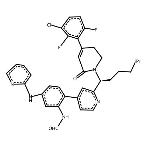 CC(C)CCC[C@@H](c1cc(-c2ccc(Nc3ccccn3)cc2NC=O)ccn1)N1CCC(c2c(F)ccc(Cl)c2F)=CC1=O